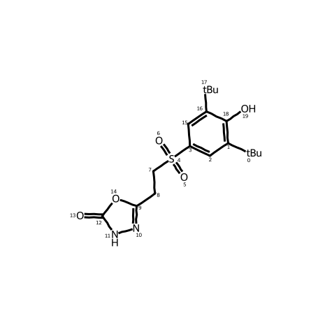 CC(C)(C)c1cc(S(=O)(=O)CCc2n[nH]c(=O)o2)cc(C(C)(C)C)c1O